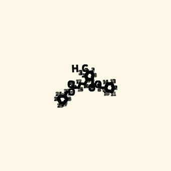 Cc1ccc(C(=O)OCc2ccccc2)c(CCCC(=O)OCc2ccccc2)c1